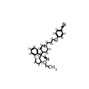 CCO[C@H]1CCC[C@@H]1[C@](C#N)(c1ccccc1)C1CCN(CCCOc2ccc(C#N)cc2)CC1